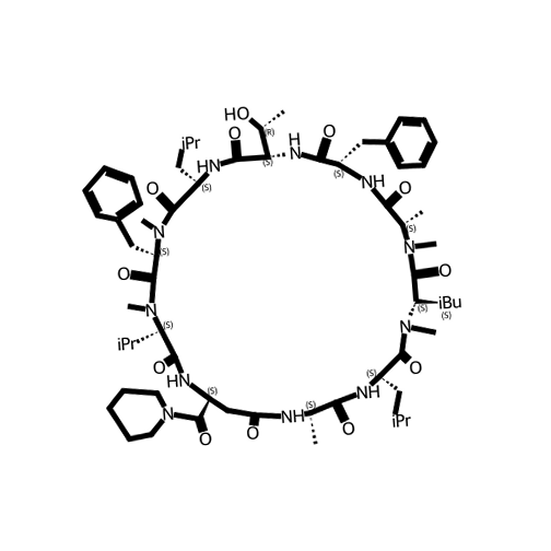 CC[C@H](C)[C@H]1C(=O)N(C)[C@@H](C)C(=O)N[C@@H](Cc2ccccc2)C(=O)N[C@@H]([C@@H](C)O)C(=O)N[C@@H](CC(C)C)C(=O)N(C)[C@@H](Cc2ccccc2)C(=O)N(C)[C@@H](C(C)C)C(=O)N[C@H](C(=O)N2CCCCC2)CC(=O)N[C@@H](C)C(=O)N[C@@H](CC(C)C)C(=O)N1C